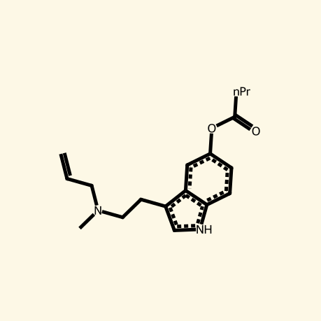 C=CCN(C)CCc1c[nH]c2ccc(OC(=O)CCC)cc12